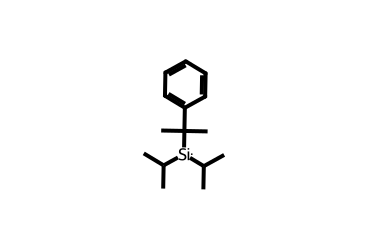 CC(C)[Si](C(C)C)C(C)(C)c1ccccc1